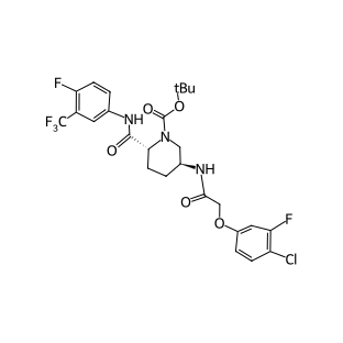 CC(C)(C)OC(=O)N1C[C@@H](NC(=O)COc2ccc(Cl)c(F)c2)CC[C@@H]1C(=O)Nc1ccc(F)c(C(F)(F)F)c1